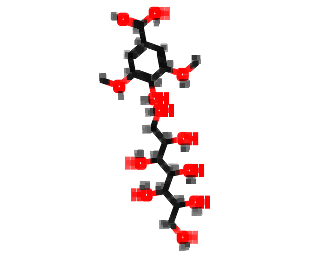 COc1cc(C(=O)O)cc(OC)c1O.OCC(O)C(O)C(O)C(O)C(O)CO